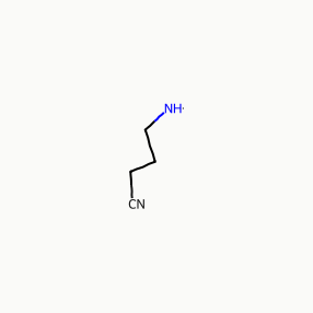 N#CCCC[NH]